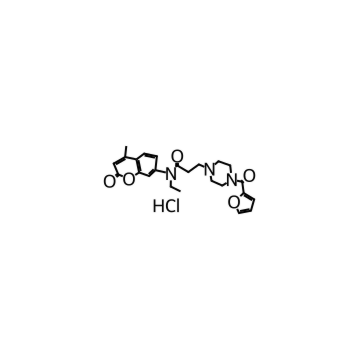 CCN(C(=O)CCN1CCN(C(=O)c2ccco2)CC1)c1ccc2c(C)cc(=O)oc2c1.Cl